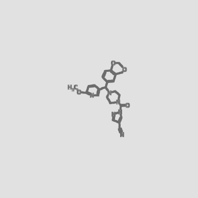 COc1ccc(C(c2ccc3c(c2)COCO3)N2CCN(C(=O)n3cc(C#N)cn3)CC2)cn1